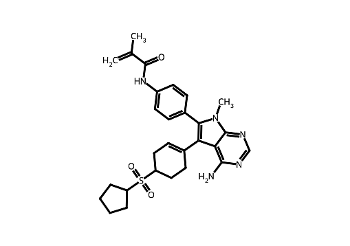 C=C(C)C(=O)Nc1ccc(-c2c(C3=CCC(S(=O)(=O)C4CCCC4)CC3)c3c(N)ncnc3n2C)cc1